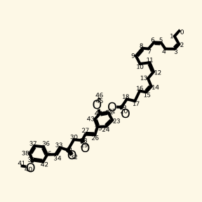 CC/C=C\C/C=C\C/C=C\C/C=C\C/C=C\CCCC(=O)Oc1ccc(/C=C/C(=O)CC(=O)/C=C/c2cc[c]c(OC)c2)cc1OC